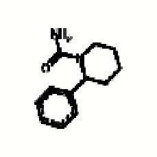 NC(=O)N1CCCCC1c1ccccc1